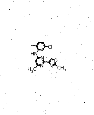 Cc1cc(Nc2cc(Cl)ccc2F)nc(-c2coc(C)n2)n1